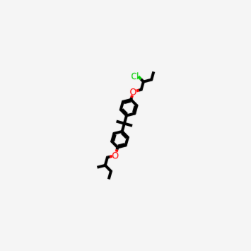 CCC(C)COc1ccc(C(C)(C)c2ccc(OCC(Cl)CC)cc2)cc1